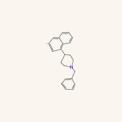 [c]1cc(C2CCN(Cc3ccccc3)CC2)c2ccccc2c1